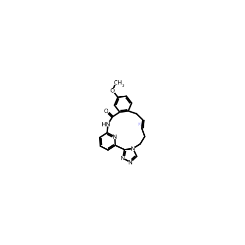 COc1ccc2c(c1)C(=O)Nc1cccc(n1)-c1nncn1CC/C=C/C2